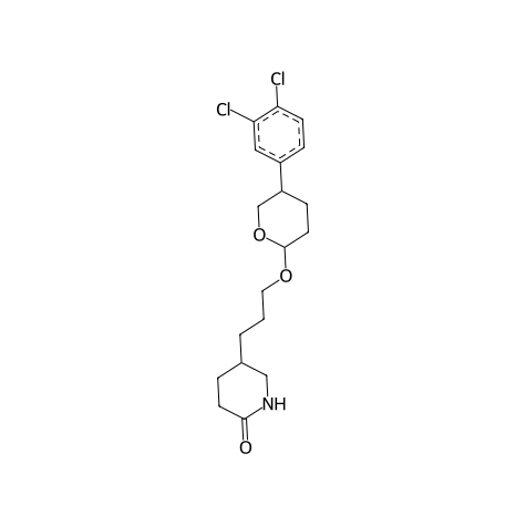 O=C1CCC(CCCOC2CCC(c3ccc(Cl)c(Cl)c3)CO2)CN1